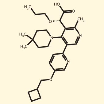 CCCO[C@H](C(=O)O)c1c(C)ncc(-c2ccc(OCC3CCC3)cn2)c1N1CCC(C)(C)CC1